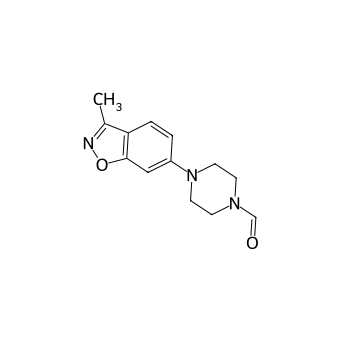 Cc1noc2cc(N3CCN(C=O)CC3)ccc12